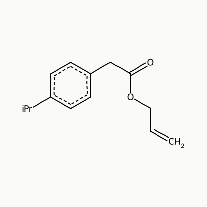 C=CCOC(=O)Cc1ccc(C(C)C)cc1